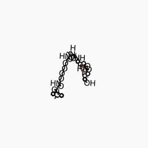 C/C1=C/c2ccccc2CN(C(=O)CCC(=O)NCCOCCOCCOCCOCCC(=O)N[C@H](C(=O)N[C@@H](C)C(=O)Nc2ccc3c(c2)[C@@]2(C)CCC[C@](C)(C(=O)NC(=O)[C@@]4(C)CCC[C@]5(C)c6cc(O)ccc6CC[C@@H]45)[C@@H]2CC3)C(C)C)c2ccccc21